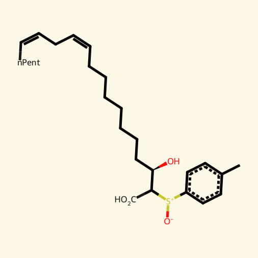 CCCCC/C=C\C/C=C\CCCCCCC[C@@H](O)C(C(=O)O)[S+]([O-])c1ccc(C)cc1